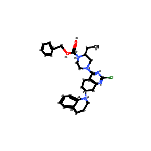 N#CC[C@H]1CN(c2nc(Cl)nc3c2CC[C@@H](N2CCCc4ccccc42)C3)CCN1C(=O)OCc1ccccc1